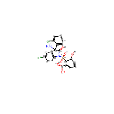 COC1C=CC=C(C(=O)O)C1S(=O)(=O)N1C(=O)C(N)(c2ccccc2Cl)c2cc(Cl)ccc21